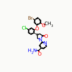 COc1ccc(Br)cc1Oc1cc(Cl)ccc1[C@H]1CC(=O)N(c2cc(C(N)=O)ccn2)C1